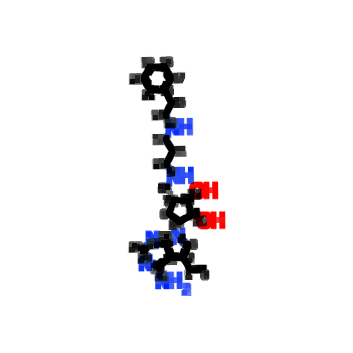 C=Cc1cn([C@@H]2C[C@H](CNCCCNCCc3ccccc3)[C@@H](O)[C@H]2O)c2ncnc(N)c12